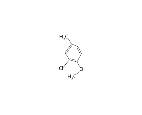 [CH2]c1ccc(OC)c(Cl)c1